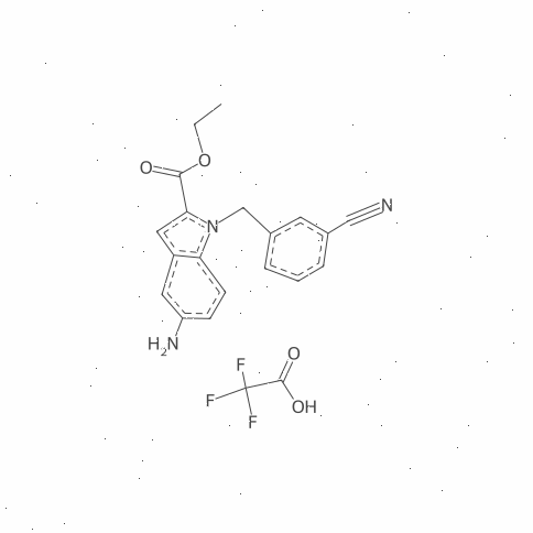 CCOC(=O)c1cc2cc(N)ccc2n1Cc1cccc(C#N)c1.O=C(O)C(F)(F)F